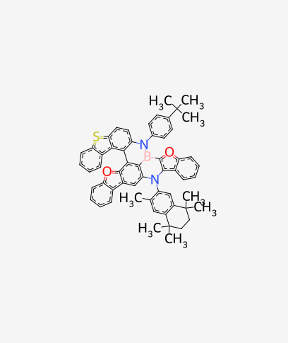 Cc1cc2c(cc1N1c3cc4c(oc5ccccc54)c4c3B(c3oc5ccccc5c31)N(c1ccc(C(C)(C)C)cc1)c1ccc3sc5ccccc5c3c1-4)C(C)(C)CCC2(C)C